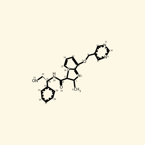 CC1N=C2C(OCc3cncnc3)=CC=CN2C1C(=O)N[C@@H](CN=O)c1ccccc1